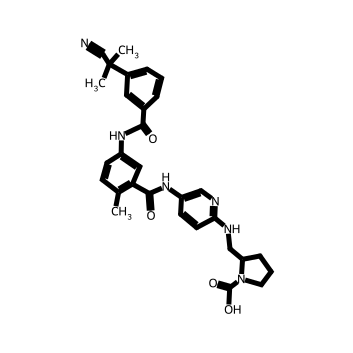 Cc1ccc(NC(=O)c2cccc(C(C)(C)C#N)c2)cc1C(=O)Nc1ccc(NCC2CCCN2C(=O)O)nc1